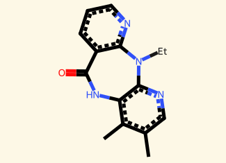 CCN1c2ncccc2C(=O)Nc2c1ncc(C)c2C